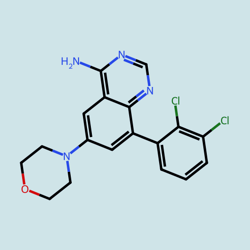 Nc1ncnc2c(-c3cccc(Cl)c3Cl)cc(N3CCOCC3)cc12